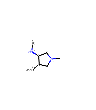 CO[C@@H]1CN(C)C[C@@H]1NC(C)C